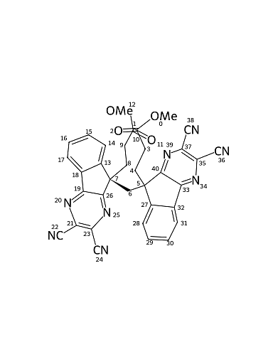 COC(=O)CCC1(C[C@]2(CCC(=O)OC)c3ccccc3-c3nc(C#N)c(C#N)nc32)c2ccccc2-c2nc(C#N)c(C#N)nc21